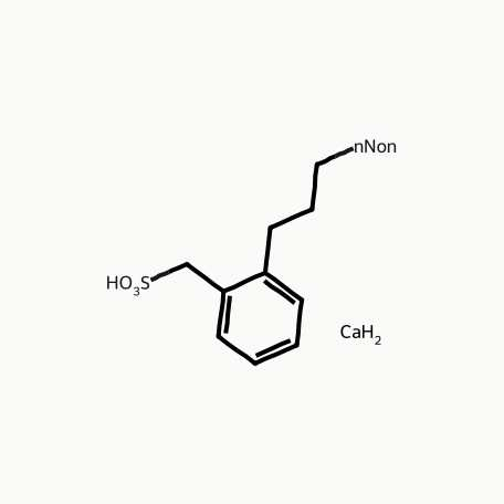 CCCCCCCCCCCCc1ccccc1CS(=O)(=O)O.[CaH2]